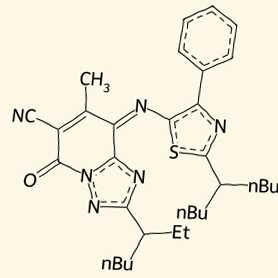 CCCCC(CC)c1nc2n(n1)C(=O)C(C#N)=C(C)/C2=N/c1sc(C(CCCC)CCCC)nc1-c1ccccc1